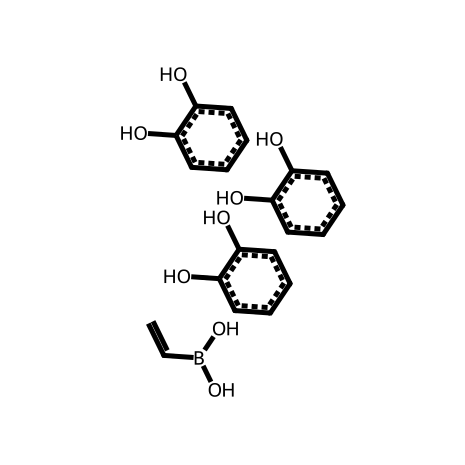 C=CB(O)O.Oc1ccccc1O.Oc1ccccc1O.Oc1ccccc1O